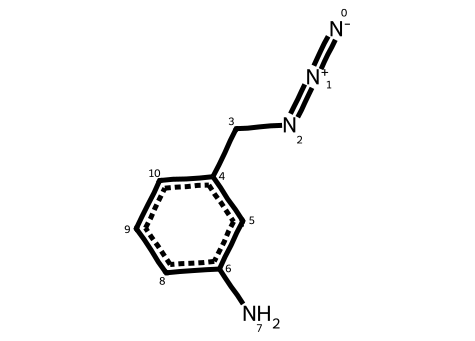 [N-]=[N+]=NCc1[c]c(N)ccc1